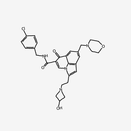 O=C(NCc1ccc(Cl)cc1)c1cn2c(CCN3CC(O)C3)cc3cc(CN4CCOCC4)cc(c1=O)c32